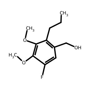 CCCc1c(CO)cc(F)c(OC)c1OC